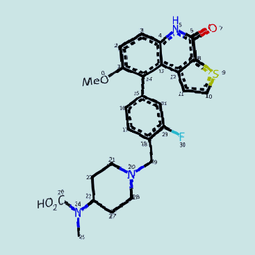 COc1ccc2[nH]c(=O)c3sccc3c2c1-c1ccc(CN2CCC(N(C)C(=O)O)CC2)c(F)c1